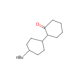 CCCCC1CCC(C2CCCCC2=O)CC1